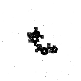 CCOC(=O)CC(NC(=O)CNC(=O)c1cccc(NC2=NCCN2)c1)c1cc(Cl)cc(Cl)c1